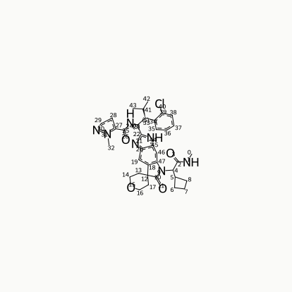 CNC(=O)C(C1CCC1)N1C(=O)C2(CCOCC2)c2cc3nc([C@@H](NC(=O)c4ccnn4C)[C@H](c4ccccc4Cl)C(C)C)[nH]c3cc21